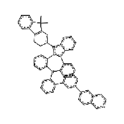 CC1(C)C2=C(CCC(n3c4c(c5ccccc53)-c3ccccc3N(c3ccccc3-c3cccc(-c5ccc6cnccc6c5)c3)c3ccccc3-4)=C2)c2ccccc21